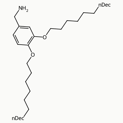 CCCCCCCCCCCCCCCCOc1ccc(CN)cc1OCCCCCCCCCCCCCCCC